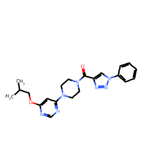 CC(C)COc1cc(N2CCN(C(=O)c3cn(-c4ccccc4)nn3)CC2)ncn1